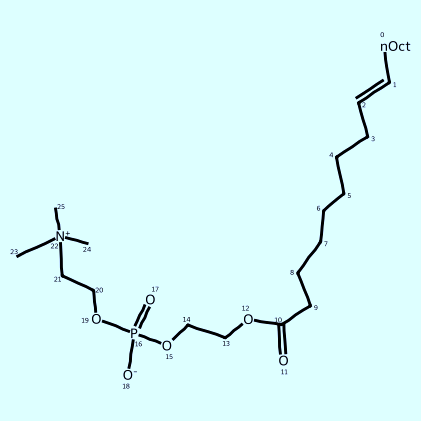 CCCCCCCCC=CCCCCCCCC(=O)OCCOP(=O)([O-])OCC[N+](C)(C)C